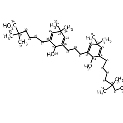 CC1(C)C=C(CCCCC(C)(C)CO)C(O)C(CCCC2=CC(C)(C)C=C(CCCCC(C)(C)C(=O)O)C2O)=C1